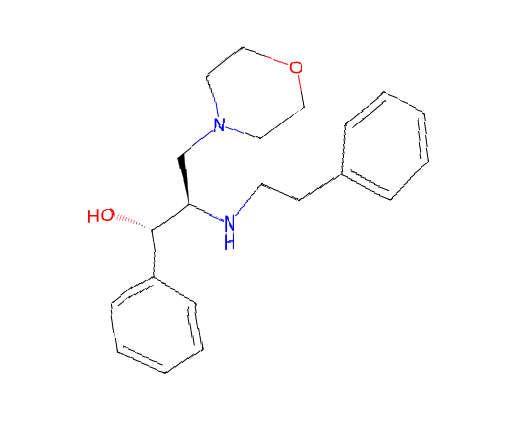 O[C@@H](c1ccccc1)[C@@H](CN1CCOCC1)NCCc1ccccc1